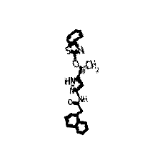 C[C@@H](Oc1nc2ccccc2s1)c1cc(NC(=O)Cc2cccc3ccccc23)n[nH]1